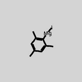 Cc1cc(C)[c]([Mg][I])c(C)c1